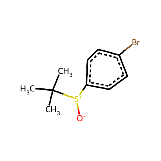 CC(C)(C)[S+]([O-])c1ccc(Br)cc1